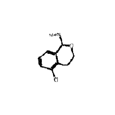 CNC1OCCc2c(Cl)cccc21